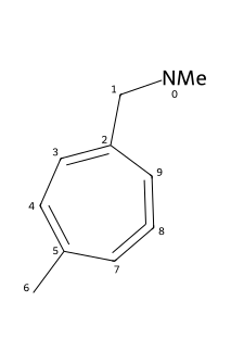 CNCC1=CC=C(C)C=C=C1